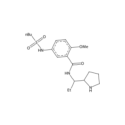 CCCCS(=O)(=O)Nc1ccc(OC)c(C(=O)NC(CC)C2CCCN2)c1